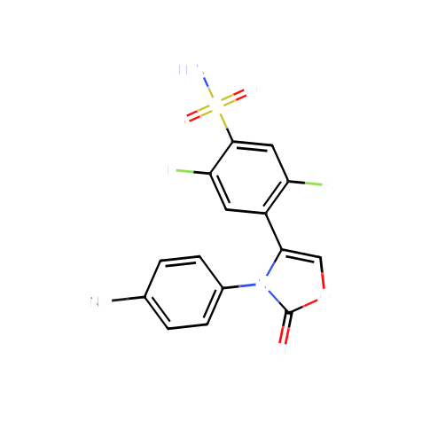 N#Cc1ccc(-n2c(-c3cc(F)c(S(N)(=O)=O)cc3F)coc2=O)cc1